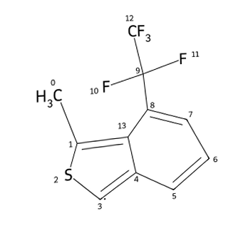 Cc1s[c]c2cccc(C(F)(F)C(F)(F)F)c12